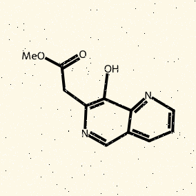 COC(=O)Cc1ncc2cccnc2c1O